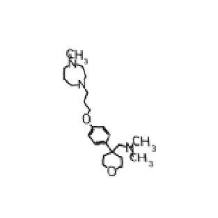 CN(C)CC1(c2ccc(OCCCN3CCCN(C)CC3)cc2)CCOCC1